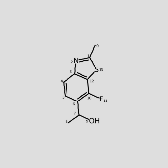 Cc1nc2ccc(C(C)O)c(F)c2s1